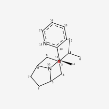 CC(C)N1CC2CCC(C1)N2[C@H](C)c1ccccn1